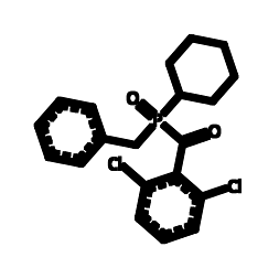 O=C(c1c(Cl)cccc1Cl)P(=O)(Cc1ccccc1)C1CCCCC1